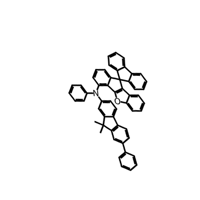 CC1(C)c2cc(-c3ccccc3)ccc2-c2ccc(N(c3ccccc3)c3cccc4c3-c3oc5ccccc5c3C43c4ccccc4-c4ccccc43)cc21